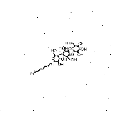 CCSCCCCCCO[C@@H]1OC(CO)[C@@H](O[C@@H]2OC(CO)[C@@H](O[C@@H]3OC(CO)[C@@H](O)[C@H](O)C3O)[C@H](O)C2O)[C@H](O)C1O